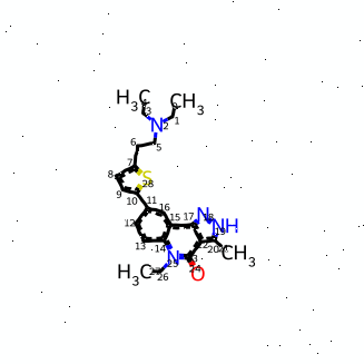 CCN(CC)CCc1ccc(-c2ccc3c(c2)c2n[nH]c(C)c2c(=O)n3CC)s1